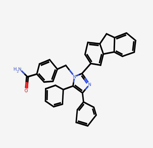 NC(=O)c1ccc(Cn2c(-c3ccc4c(c3)-c3ccccc3C4)nc(-c3ccccc3)c2C2C=CC=CC2)cc1